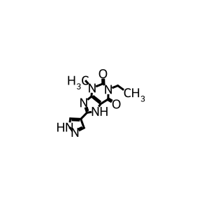 CCn1c(=O)c2[nH]c(-c3cn[nH]c3)nc2n(C)c1=O